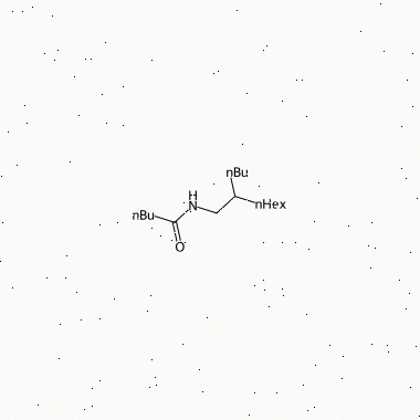 CCCCCCC(CCCC)CNC(=O)CCCC